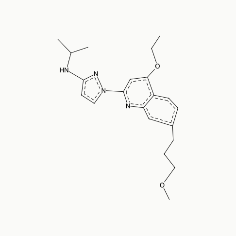 CCOc1cc(-n2ccc(NC(C)C)n2)nc2cc(CCCOC)ccc12